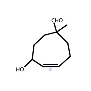 CC1(C=O)CC/C=C\C(O)CC1